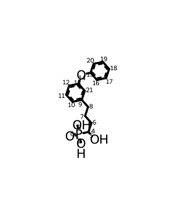 O=P(O)(O)C(O)CCCc1cccc(Oc2ccccc2)c1